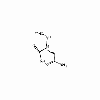 NC(=O)C[C@H](NC=O)C(N)=O